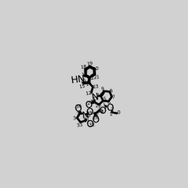 CCOC(=O)[C@@]12CCCC=C1N(CCc1c[nH]c3ccccc13)C(=O)[C@H]2CC(=O)ON1C(=O)CCC1=O